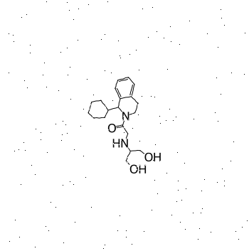 O=C(CNC(CO)CO)N1CCc2ccccc2C1C1CCCCC1